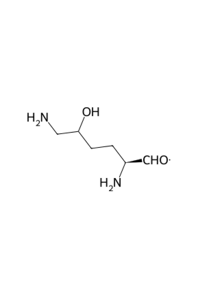 NCC(O)CC[C@H](N)[C]=O